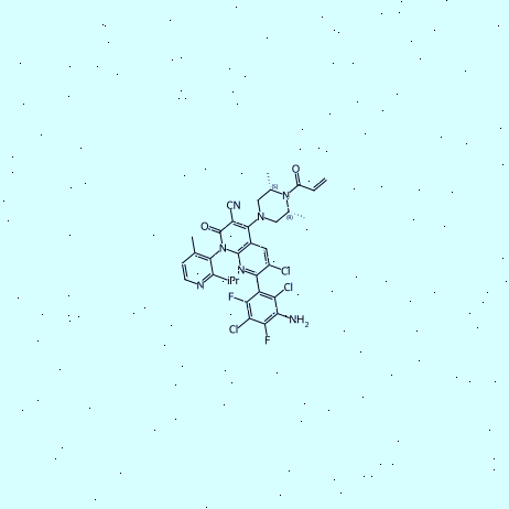 C=CC(=O)N1[C@H](C)CN(c2c(C#N)c(=O)n(-c3c(C)ccnc3C(C)C)c3nc(-c4c(F)c(Cl)c(F)c(N)c4Cl)c(Cl)cc23)C[C@@H]1C